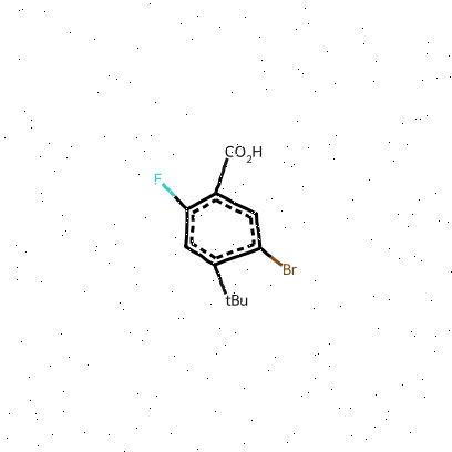 CC(C)(C)c1cc(F)c(C(=O)O)cc1Br